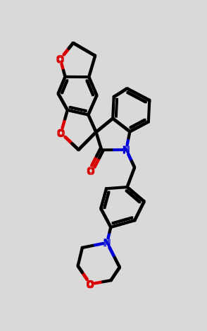 O=C1N(Cc2ccc(N3CCOCC3)cc2)c2ccccc2C12COc1cc3c(cc12)CCO3